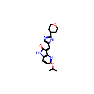 CC(C)Oc1ccc2c(n1)C(=Cc1cnc(C3CCOCC3)[nH]1)C(=O)N2